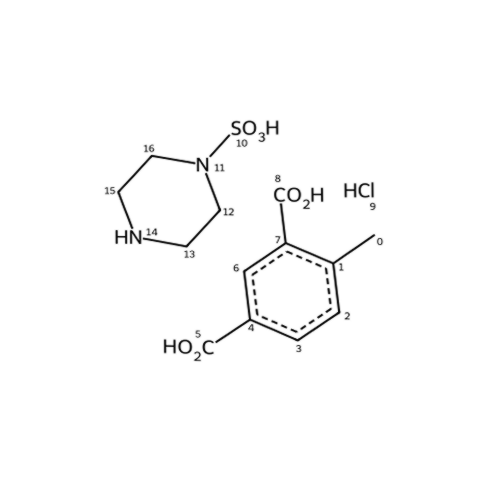 Cc1ccc(C(=O)O)cc1C(=O)O.Cl.O=S(=O)(O)N1CCNCC1